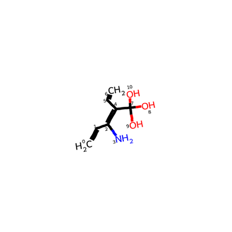 C=C/C(N)=C(\C=C)C(O)(O)O